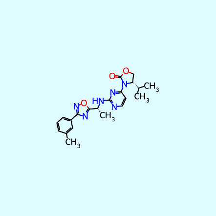 Cc1cccc(-c2noc([C@@H](C)Nc3nccc(N4C(=O)OC[C@@H]4C(C)C)n3)n2)c1